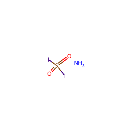 N.O=S(=O)(I)I